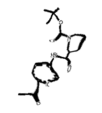 CC(=O)c1ccc(NC(=O)C2CCN2C(=O)OC(C)(C)C)cn1